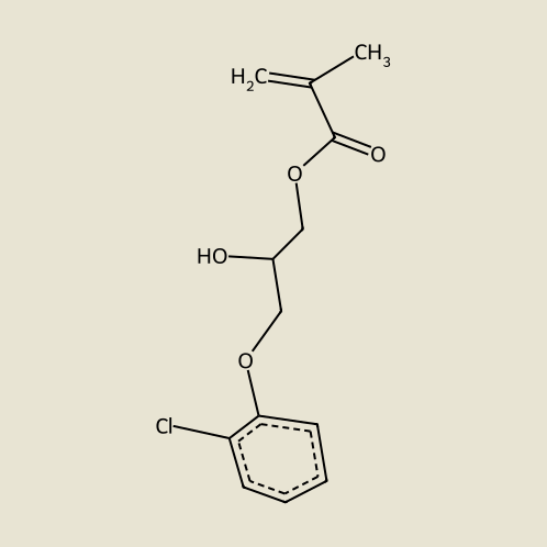 C=C(C)C(=O)OCC(O)COc1ccccc1Cl